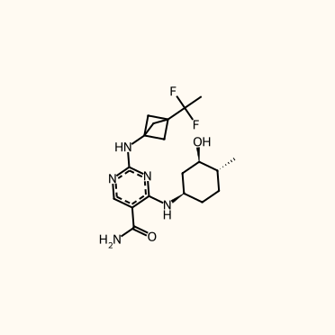 C[C@@H]1CC[C@@H](Nc2nc(NC34CC(C(C)(F)F)(C3)C4)ncc2C(N)=O)C[C@H]1O